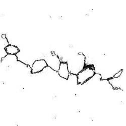 CC[C@H]1CN(c2ncc(CNC(N)=O)cc2Cl)CCN1C1CCN(Cc2ccc(Cl)cc2F)CC1